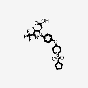 C[C@@H]1C(C(F)(F)F)=NN(c2ccc(OC3CCN(S(=O)(=O)C4CCCC4)CC3)cc2)[C@H]1CC(=O)O